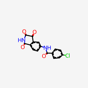 O=C1NC(=O)c2ccc(NC(=O)c3ccc(Cl)cc3)cc2C1=O